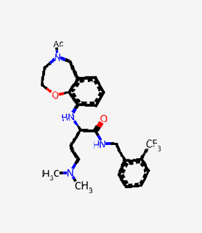 CC(=O)N1CCOc2c(cccc2NC(CCN(C)C)C(=O)NCc2ccccc2C(F)(F)F)C1